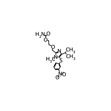 CC(C)c1nc(COCCOC(N)=O)n(C)c1Sc1cccc([N+](=O)[O-])c1